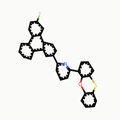 Fc1ccc2c3ccccc3c3cc(-c4cccc(-c5cccc6c5Oc5ccccc5S6)n4)ccc3c2c1